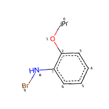 CC(C)Oc1ccccc1NBr